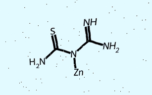 N=C(N)[N]([Zn])C(N)=S